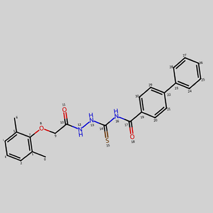 Cc1cccc(C)c1OCC(=O)NNC(=S)NC(=O)c1ccc(-c2ccccc2)cc1